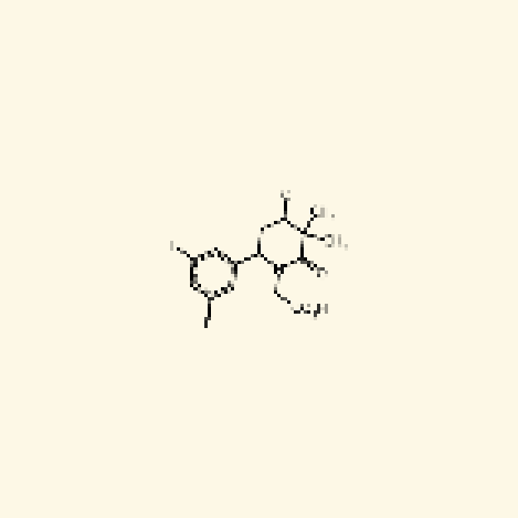 CC1(C)C(=O)N(CC(=O)O)C(c2cc(F)cc(F)c2)CC1O